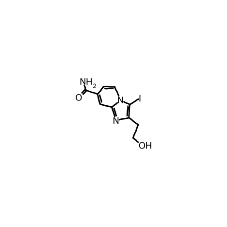 NC(=O)c1ccn2c(I)c(CCO)nc2c1